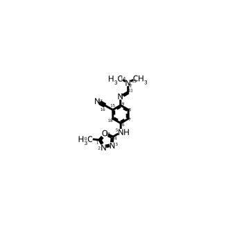 Cc1nnc(Nc2ccc(/N=C/N(C)C)c(C#N)c2)o1